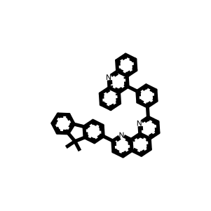 CC1(C)c2ccccc2-c2ccc(-c3ccc4ccc5ccc(-c6cccc(-c7c8ccccc8nc8ccccc78)c6)nc5c4n3)cc21